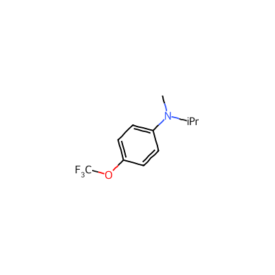 CC(C)N(C)c1ccc(OC(F)(F)F)cc1